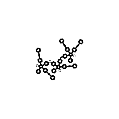 O=C1C(c2ccc(C#Cc3ccccc3)cc2)=C(c2ccc(C#Cc3ccccc3)cc2)C(c2ccc(Cc3ccc(C4=C(c5ccc(C#Cc6ccccc6)cc5)C(=O)C(c5ccccc5)=C4c4ccc(Oc5ccc(C6=C(c7ccc(C#Cc8ccccc8)cc7)C(=O)C(c7ccccc7)=C6c6ccc(C#Cc7ccccc7)cc6)cc5)cc4)cc3)cc2)=C1c1ccccc1